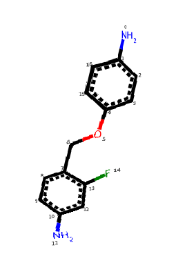 Nc1ccc(OCc2ccc(N)cc2F)cc1